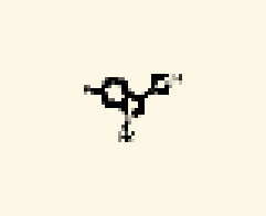 Cl.Cn1cc(C2CNC2)c2ccc(F)cc21